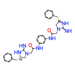 N=C1N[C@@H](Cc2ccccc2)CN1CC(=O)Nc1cccc(NC(=O)CN2C[C@H](Cc3ccccc3)NC2=N)c1